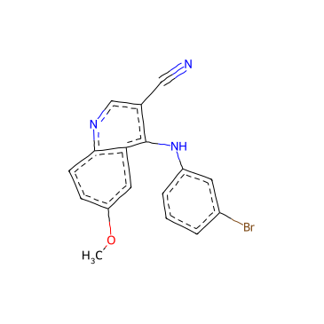 COc1ccc2ncc(C#N)c(Nc3cccc(Br)c3)c2c1